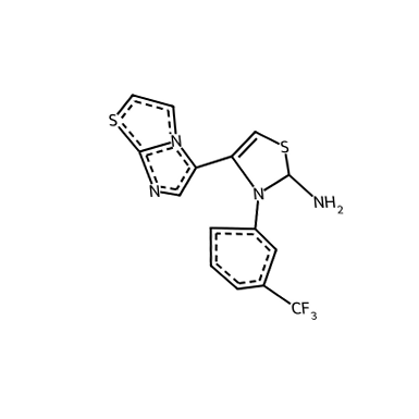 NC1SC=C(c2cnc3sccn23)N1c1cccc(C(F)(F)F)c1